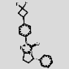 O=c1n(-c2ccc(C3CC(F)(F)C3)cc2)nc2n1[C@H](c1ccccc1)CC2